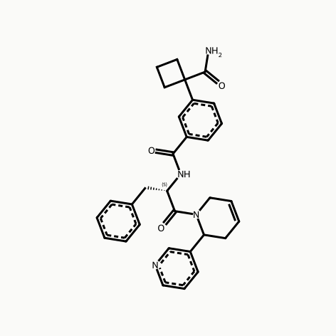 NC(=O)C1(c2cccc(C(=O)N[C@@H](Cc3ccccc3)C(=O)N3CC=CCC3c3cccnc3)c2)CCC1